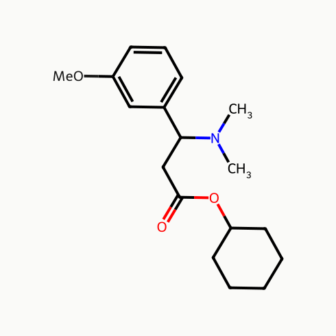 COc1cccc(C(CC(=O)OC2CCCCC2)N(C)C)c1